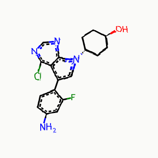 Nc1ccc(-c2cn([C@H]3CC[C@H](O)CC3)c3ncnc(Cl)c23)c(F)c1